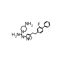 NC(=Nc1cc(CCc2ccc(-c3ccccc3)c(F)c2)on1)N1CCC(N)CC1